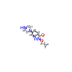 O=C(NOCC1CC1)c1ccc(N2CCNCC2)cn1